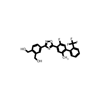 Cc1cc(-c2nc(-c3ccc(CO)c(CO)c3)no2)c(F)cc1-c1ccccc1C(F)(F)F